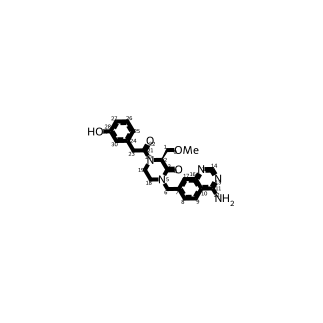 COC[C@H]1C(=O)N(Cc2ccc3c(N)ncnc3c2)CCN1C(=O)Cc1cccc(O)c1